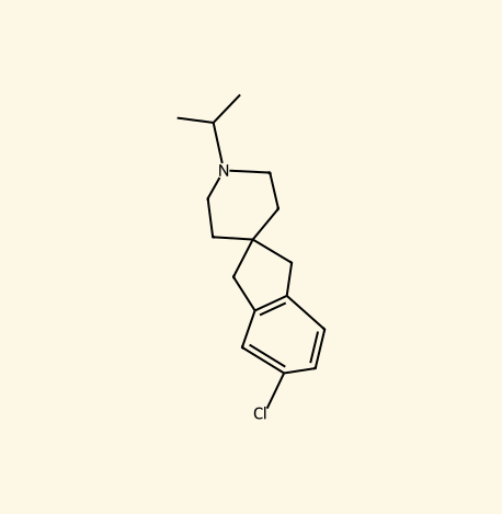 CC(C)N1CCC2(CC1)Cc1ccc(Cl)cc1C2